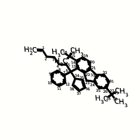 C=CCCCCC(c1ccccc1)(c1c(C(C)(C)C)ccc2c1Cc1cc(C(C)(C)C)ccc1-2)C1C=CC=C1